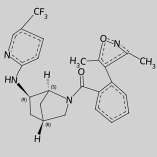 Cc1noc(C)c1-c1ccccc1C(=O)N1C[C@@H]2C[C@@H](Nc3ccc(C(F)(F)F)cn3)[C@@H]1C2